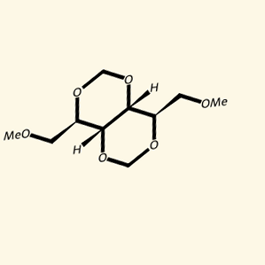 COC[C@H]1OCO[C@H]2[C@@H]1OCO[C@@H]2COC